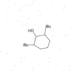 CCC(C)C1CCCC(C(C)CC)C1O